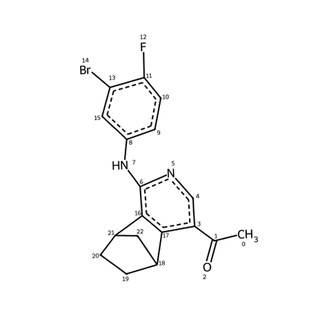 CC(=O)c1cnc(Nc2ccc(F)c(Br)c2)c2c1C1CCC2C1